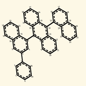 c1ccc(-c2cc(-c3c4ccccc4c(-c4cccc5ccccc45)c4ccccc34)c3ccccc3c2)cc1